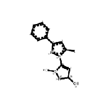 Cc1cc(-c2ccccc2)nn1C1=CC(O)N[S+]1[O-]